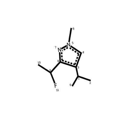 CC(C)c1cn(C)nc1C(C)F